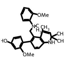 COc1cc(O)ccc1-c1ccc2c(c1CN(C)c1ccccc1OC)C(C)=CC(C)(C)N2